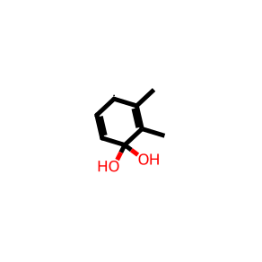 CC1=C(C)C(O)(O)C=C[CH]1